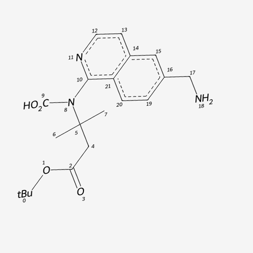 CC(C)(C)OC(=O)CC(C)(C)N(C(=O)O)c1nccc2cc(CN)ccc12